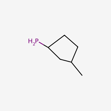 CC1CCC(P)C1